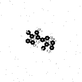 N#Cc1c(-n2c3ccccc3c3cc(C(F)(F)F)ccc32)cc(-c2ccncc2)cc1-n1c2ccc(-c3cc4c5ccc(C(F)(F)F)cc5n(-c5cc(-c6ccncc6)cc(-n6c7cc(C(F)(F)F)ccc7c7ccc(C(F)(F)F)cc76)c5C#N)c4cc3C(F)(F)F)cc2c2cc(C(F)(F)F)ccc21